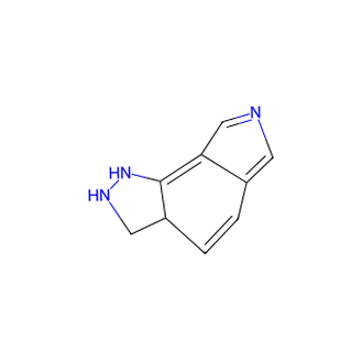 C1=CC2CNNC2=C2C=NC=C12